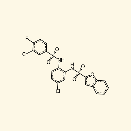 O=S(=O)(Nc1ccc(Cl)cc1NS(=O)(=O)c1cc2ccccc2o1)c1ccc(F)c(Cl)c1